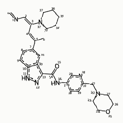 C=N/C=C(\C=C(/C)c1ccc2[nH]nc(C(=O)Nc3ccc(CN4CCOCC4)nc3)c2c1)N1CCCCC1